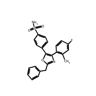 Cc1cc(F)ccc1-c1nc(Cc2ccccc2)oc1-c1ccc(S(N)(=O)=O)cc1